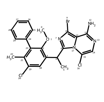 COc1c(C(C)c2nc(Br)c3c(N)ncc(Cl)n23)cc(Cl)c(C)c1-c1ccccc1